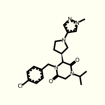 CC(C)N1CC(=O)N(Cc2ccc(Cl)cc2)C([C@H]2CCN(c3cnn(C)c3)C2)C1=O